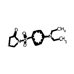 CCN(CC)c1ccc(S(=O)(=O)N2C[CH]CC2=O)cc1